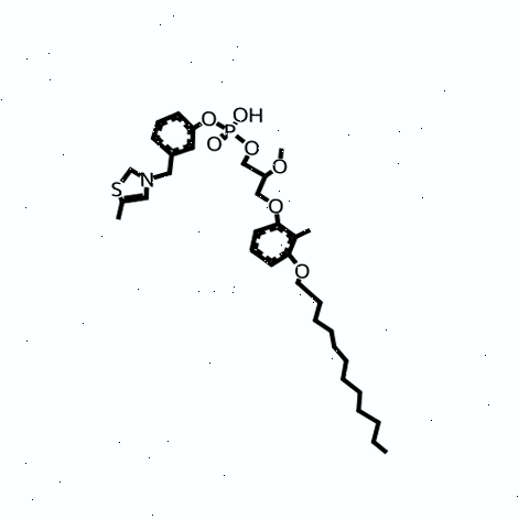 CCCCCCCCCCCCOc1cccc(OCC(COP(=O)(O)Oc2cccc(CN3C=C(C)SC3)c2)OC)c1C